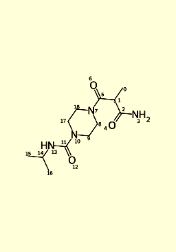 C[C](C(N)=O)C(=O)N1CCN(C(=O)NC(C)C)CC1